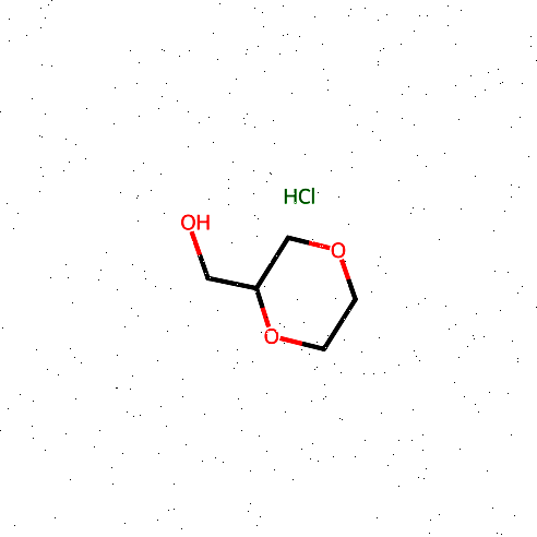 Cl.OCC1COCCO1